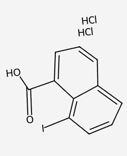 Cl.Cl.O=C(O)c1cccc2cccc(I)c12